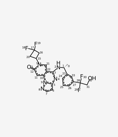 C[C@@H](Nc1nc2ccnn2c2cc(=O)n(C3CC(F)(F)C3)cc12)c1cccc(C(F)(F)CO)c1